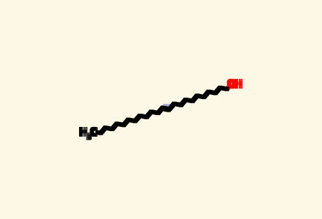 CCCCCCCCCCCC/C=C/CCCCCCCCCCO